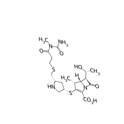 C[C@@H](O)[C@H]1C(=O)N2C(C(=O)O)=C(S[C@@H]3CN[C@H](CSCCC(=O)N(C)C(N)=O)C3)[C@H](C)[C@H]12